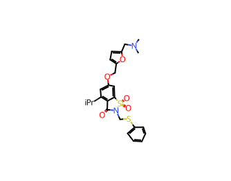 CC(C)c1cc(OCc2ccc(CN(C)C)o2)cc2c1C(=O)N(CSc1ccccc1)S2(=O)=O